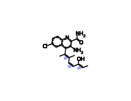 C/C=C(O)/C=C\C(C)=C(/C)c1c(N)c(C(N)=O)nc2ccc(Cl)cc12